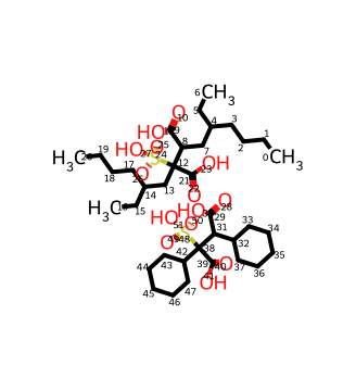 CCCCC(CC)CC(C(=O)O)C(CC(CC)CCCC)(C(=O)O)S(=O)(=O)O.O=C(O)C(C1CCCCC1)C(C(=O)O)(C1CCCCC1)S(=O)(=O)O